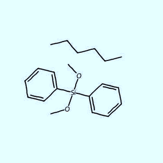 CCCCCC.CO[Si](OC)(c1ccccc1)c1ccccc1